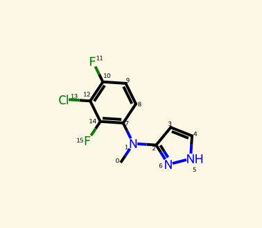 CN(c1cc[nH]n1)c1ccc(F)c(Cl)c1F